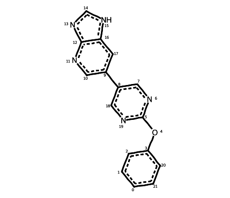 c1ccc(Oc2ncc(-c3cnc4nc[nH]c4c3)cn2)cc1